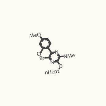 CCCCCCCOc1nc(Br)c(-c2ccc(OC)cc2Cl)nc1NC